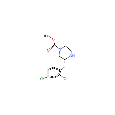 CC(C)(C)OC(=O)N1CCN[C@H](Cc2ccc(Cl)cc2Cl)C1